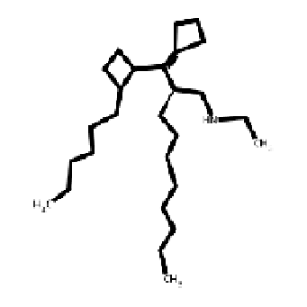 CCCCCCCC[C@H](CNCC)C(=C1CCC1)C1CCC1CCCCCC